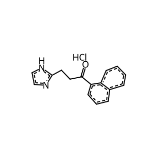 Cl.O=C(CCc1ncc[nH]1)c1cccc2ccccc12